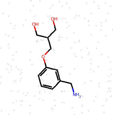 NCc1[c]ccc(OCC(CO)CO)c1